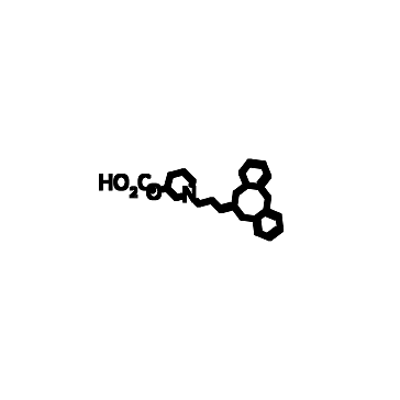 O=C(O)OC1CCCN(CCC=C2Cc3ccccc3CC3=CC=CCC3C2)C1